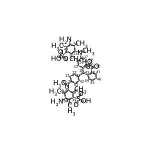 Cc1c(N)c(C)c(S(=O)(=O)O)c(C)c1N(C)c1ccc(C(c2ccc(N(C)c3c(C)c(N)c(C)c(S(=O)(=O)O)c3C)cc2)c2ccccc2S(=O)(=O)O)cc1